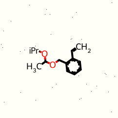 C=Cc1ccccc1COC(C)OC(C)C